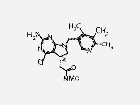 CNC(=O)C[C@H]1CN(Cc2cnc(C)c(C)c2C)c2nc(N)nc(Cl)c21